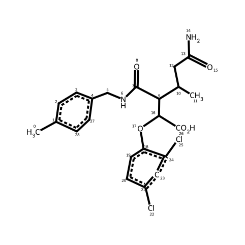 Cc1ccc(CNC(=O)C(C(C)CC(N)=O)C(Oc2ccc(Cl)cc2Cl)C(=O)O)cc1